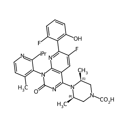 Cc1ccnc(C(C)C)c1-n1c(=O)nc(N2[C@H](C)CN(C(=O)O)C[C@@H]2C)c2cc(F)c(-c3c(O)cccc3F)nc21